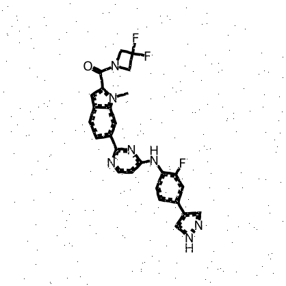 Cn1c(C(=O)N2CC(F)(F)C2)cc2ccc(-c3nccc(Nc4ccc(-c5cn[nH]c5)cc4F)n3)cc21